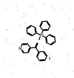 C=C(c1ccccc1)c1ccncc1.C[P+](c1ccccc1)(c1ccccc1)c1ccccc1.[I-]